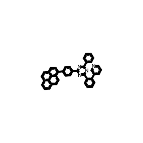 c1ccc(-c2nc(-c3ccc(-c4ccc5ccc6cccc7ccc4c5c67)cc3)nc(-c3ccccc3-c3cccnc3)n2)cc1